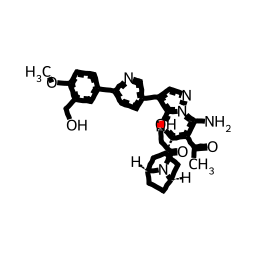 COc1ccc(-c2ccc(-c3cnn4c(N)c(C(C)=O)c([C@@H]5C[C@H]6CC[C@@H](C5)N6C(=O)CO)nc34)cn2)cc1CO